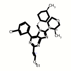 CCO/C=C/c1nc(-c2cccc(Cl)c2)c2c(n1)nc(N1CCOC[C@H]1C)n2C[C@H]1CC[C@H](C)CC1